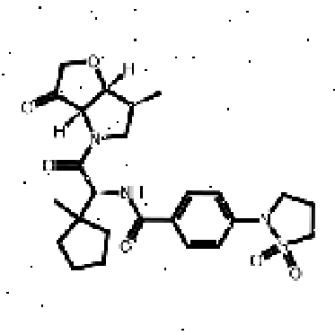 C[C@H]1CN(C(=O)[C@@H](NC(=O)c2ccc(N3CCCS3(=O)=O)cc2)C2(C)CCCC2)[C@@H]2C(=O)CO[C@@H]21